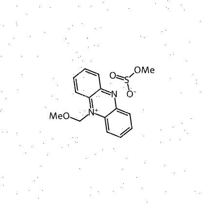 COC[n+]1c2ccccc2nc2ccccc21.COS(=O)[O-]